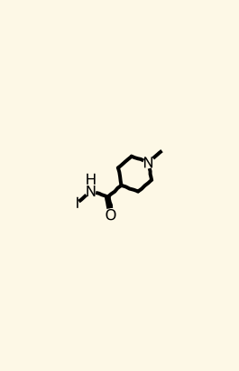 CN1CCC(C(=O)NI)CC1